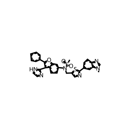 Cn1cnc2ccc(-c3ncc(CN(c4ccc5c(-c6ncc[nH]6)c(-c6ccccc6)oc5c4)S(C)(=O)=O)s3)cc21